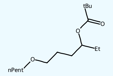 CCCCCOCCCC(CC)OC(=O)C(C)(C)C